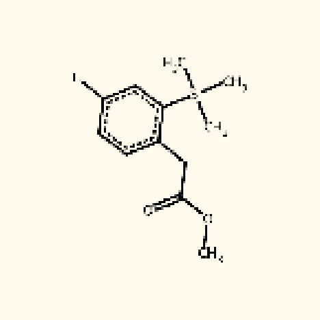 COC(=O)Cc1ccc(F)cc1[Si](C)(C)C